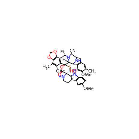 CC[C@H]1c2c3c(c(C)c(OC(C)=O)c2[C@]2(OC(=O)[C@]4(CS2)NCCc2c4[nH]c4ccc(OC)cc24)[C@H]2C4NC(Cc5cc(C)c(OC)c(O)c54)[C@H](C#N)N12)OCO3